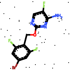 Nc1nc(OCc2c(F)cc(Br)cc2F)ncc1F